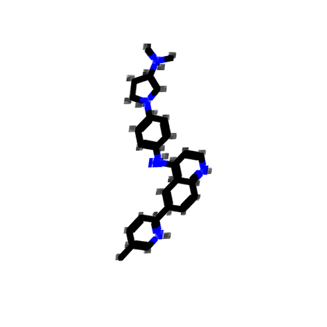 Cc1ccc(-c2ccc3nccc(Nc4ccc(N5CCC(N(C)C)C5)cc4)c3c2)nc1